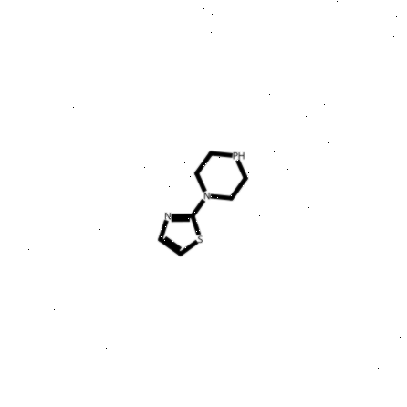 c1csc(N2CCPCC2)n1